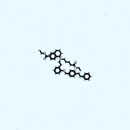 CCOC(=O)CCCCN(CCc1ccccc1OCc1ccc(CCc2ccccc2)cc1)C1CCCc2cc(C(=O)OCC)ccc21